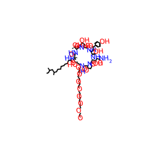 C=C1NC([C@H](O)CC(N)=O)C(=O)N2CC[C@H](O)C2C(=O)N[C@H](OCCOCCOCCOCCOCCOCCOCCOC)[C@H](O)C[C@H](NC(=O)CCCCCCCCC(C)CC(C)CC)C(=O)NC([C@@H](C)O)C(=O)N2C[C@H](O)CC2C(=O)NC1[C@H](O)[C@@H](O)c1ccc(O)cc1